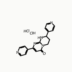 Cl.Cl.O=c1cc(-c2ccncc2)nc2n1CCC(c1ccncc1)N2